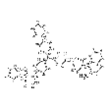 Cc1ccc2ccccc2c1-c1ccc(-c2ccc(N(c3ccc(-c4ccccc4)cc3)c3ccc(-c4cccc5c4oc4ccccc45)cc3)cc2)cc1